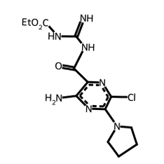 CCOC(=O)NC(=N)NC(=O)c1nc(Cl)c(N2CCCC2)nc1N